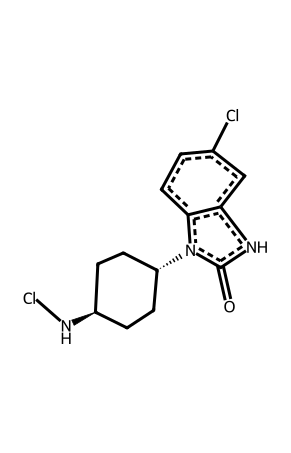 O=c1[nH]c2cc(Cl)ccc2n1[C@H]1CC[C@H](NCl)CC1